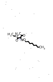 CCCCCCCCO/N=C(\C(C)=O)C(=O)OCC